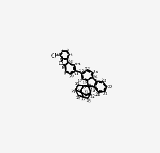 Clc1cccc2c1oc1ccc(-c3ccc4c(c3)C3(c5ccccc5-4)C4CC5CC(C4)CC3C5)cc12